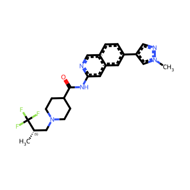 C[C@@H](CN1CCC(C(=O)Nc2cc3cc(-c4cnn(C)c4)ccc3cn2)CC1)C(F)(F)F